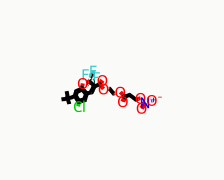 CC(C)(C)c1cc2c(cc1Cl)C=C(C(=O)OCCOC(=O)CCO[N+](=O)[O-])[C@@H](C(F)(F)F)O2